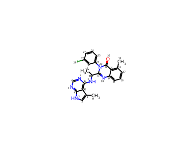 Cc1c[nH]c2ncnc(NC(C)c3nc4cccc(C)c4c(=O)n3-c3cccc(F)c3)c12